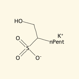 CCCCCC(CO)S(=O)(=O)[O-].[K+]